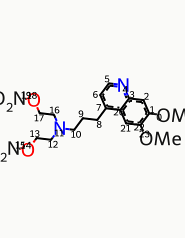 COc1cc2nccc(CCCN(CCO[N+](=O)[O-])CCO[N+](=O)[O-])c2cc1OC